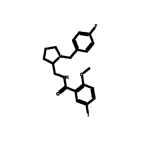 COc1ccc(I)cc1C(=O)NCC1CCCN1Cc1ccc(F)cc1